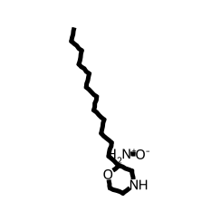 CCCCCCCCCCCCC1([NH2+][O-])CNCCO1